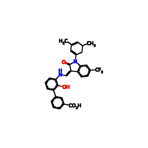 CC1=CC(C)CC(N2C(=O)/C(=C\Nc3cccc(-c4cccc(C(=O)O)c4)c3O)c3ccc(C(F)(F)F)cc32)=C1